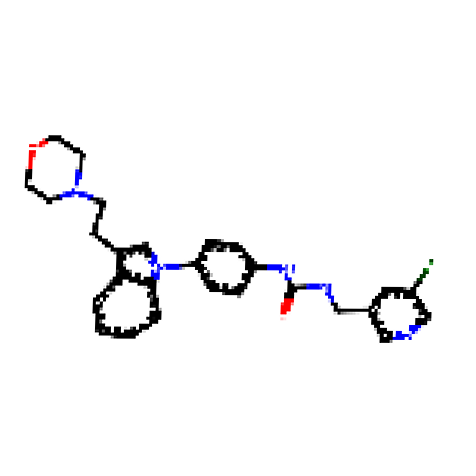 O=C(NCc1cncc(F)c1)Nc1ccc(-n2cc(CCN3CCOCC3)c3ccccc32)cc1